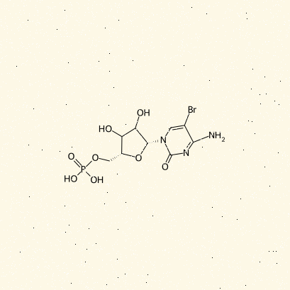 Nc1nc(=O)n([C@@H]2O[C@H](COP(=O)(O)O)C(O)C2O)cc1Br